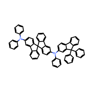 c1ccc(N(c2ccccc2)c2ccc3c(c2)-c2ccccc2C32c3ccccc3-c3cc(N(c4ccccc4)c4ccc5c(c4)C(c4ccccc4)(c4ccccc4)c4ccccc4-5)ccc32)cc1